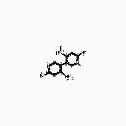 CNc1cc(Br)ncc1-c1cnc(Br)cc1N